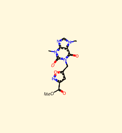 COC(=O)c1cc(Cn2c(=O)c3c(ncn3C)n(C)c2=O)on1